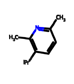 Cc1ccc(C(C)C)c(C)n1